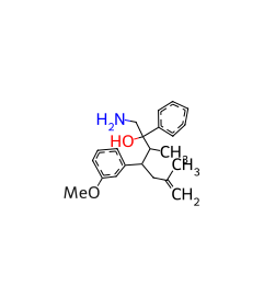 C=C(C)CC(c1cccc(OC)c1)C(C)C(O)(CN)c1ccccc1